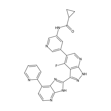 O=C(Nc1cncc(-c2cnc3[nH]nc(-c4nc5c(-c6ccccn6)ccnc5[nH]4)c3c2F)c1)C1CC1